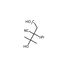 CCCC(C#N)(CC(=O)O)C(C)(C)O